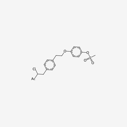 CC(=O)C(Cl)Cc1ccc(CCOc2ccc(OS(C)(=O)=O)cc2)cc1